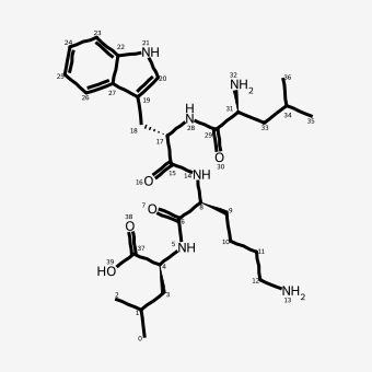 CC(C)C[C@H](NC(=O)[C@H](CCCCN)NC(=O)[C@H](Cc1c[nH]c2ccccc12)NC(=O)[C@@H](N)CC(C)C)C(=O)O